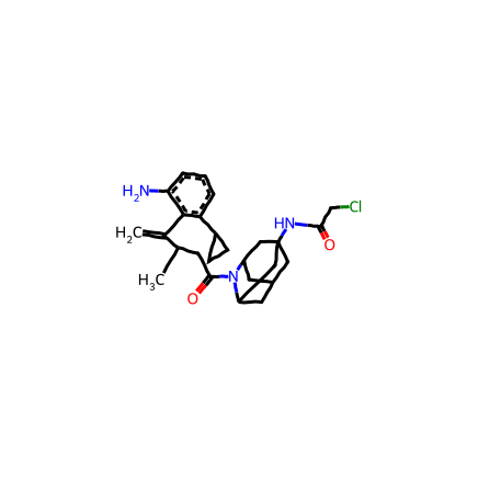 C=C(c1c(N)cccc1C1CC1)C(C)CC(=O)N1C2CC3CC1CC(NC(=O)CCl)(C3)C2